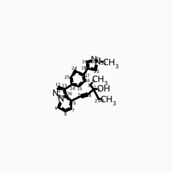 CCC(O)(C#Cc1cccn2ncc(-c3ccc(-c4cnn(C)c4)cc3)c12)CC